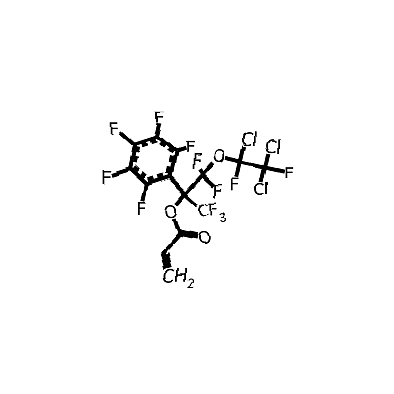 C=CC(=O)OC(c1c(F)c(F)c(F)c(F)c1F)(C(F)(F)F)C(F)(F)OC(F)(Cl)C(F)(Cl)Cl